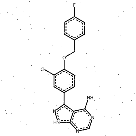 Nc1ncnc2[nH]nc(-c3ccc(OCc4ccc(F)cc4)c(Cl)c3)c12